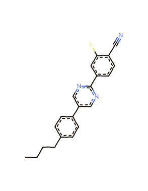 CCCCc1ccc(-c2cnc(-c3ccc(C#N)c(F)c3)nc2)cc1